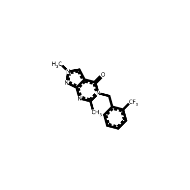 Cc1nc2nn(C)cc2c(=O)n1Cc1ccccc1C(F)(F)F